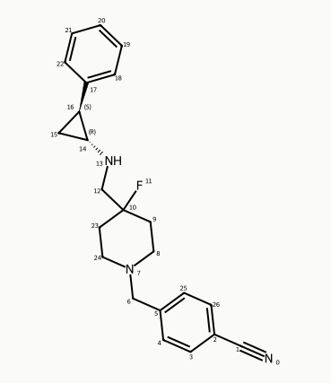 N#Cc1ccc(CN2CCC(F)(CN[C@@H]3C[C@H]3c3ccccc3)CC2)cc1